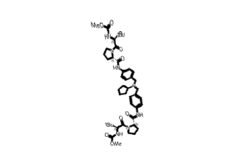 COC(=O)N[C@H](C(=O)N1CCC[C@H]1C(=O)Nc1ccc(CN(Cc2ccc(NC(=O)[C@@H]3CCCN3C(=O)[C@@H](NC(=O)OC)C(C)(C)C)cc2)C2CCCC2)cc1)C(C)(C)C